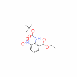 CCOC(=O)c1cccc([N+](=O)[O-])c1NC(=O)OC(C)(C)C